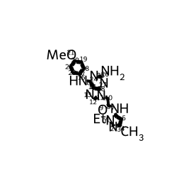 CCn1nc(C)cc1NC(=O)Cn1cnc2c(Nc3ccc(OC)cc3)nc(N)nc21